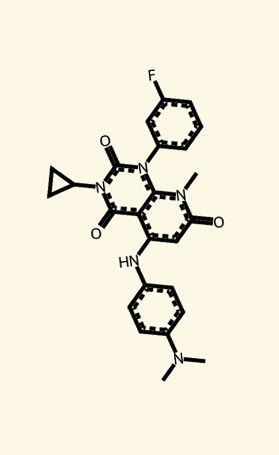 CN(C)c1ccc(Nc2cc(=O)n(C)c3c2c(=O)n(C2CC2)c(=O)n3-c2cccc(F)c2)cc1